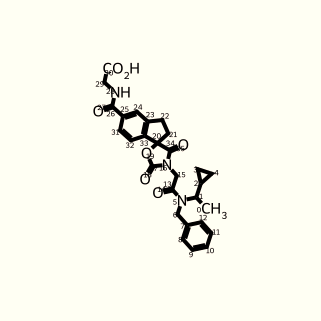 CC(C1CC1)N(Cc1ccccc1)C(=O)CN1C(=O)OC2(CCc3cc(C(=O)NCC(=O)O)ccc32)C1=O